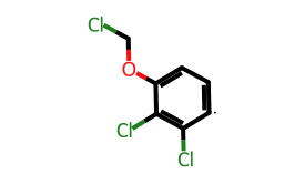 ClCOc1cc[c]c(Cl)c1Cl